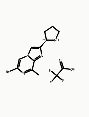 Cc1nc(Br)cn2cc([C@H]3CCCN3)nc12.O=C(O)C(F)(F)F